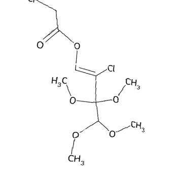 COC(OC)C(OC)(OC)C(Cl)=COC(=O)CCl